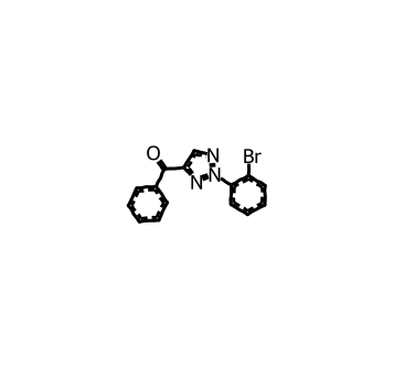 O=C(c1ccccc1)c1cnn(-c2ccccc2Br)n1